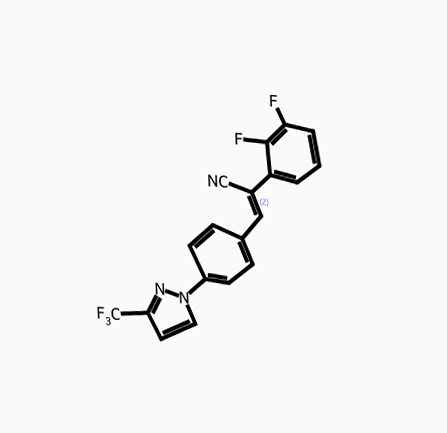 N#C/C(=C\c1ccc(-n2ccc(C(F)(F)F)n2)cc1)c1cccc(F)c1F